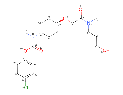 CN(CCCO)C(=O)CO[C@H]1CC[C@H](N(C)C(=O)Oc2ccc(Cl)cc2)CC1